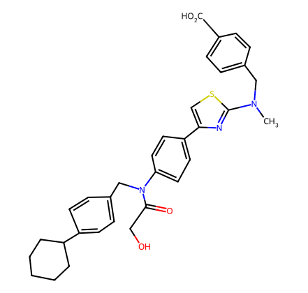 CN(Cc1ccc(C(=O)O)cc1)c1nc(-c2ccc(N(Cc3ccc(C4CCCCC4)cc3)C(=O)CO)cc2)cs1